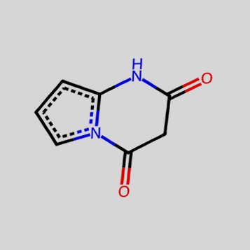 O=C1CC(=O)n2cccc2N1